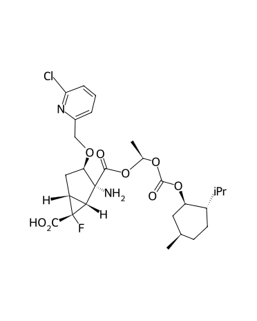 CC(C)[C@@H]1CC[C@@H](C)C[C@H]1OC(=O)O[C@H](C)OC(=O)[C@@]1(N)[C@H]2[C@@H](C[C@H]1OCc1cccc(Cl)n1)[C@]2(F)C(=O)O